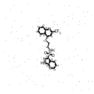 O=S(=O)(NCCSc1cc(C(F)(F)F)nc2ccccc12)c1n[nH]c2ncccc12